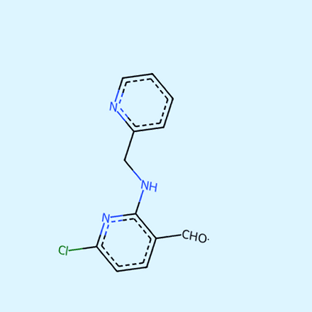 O=[C]c1ccc(Cl)nc1NCc1ccccn1